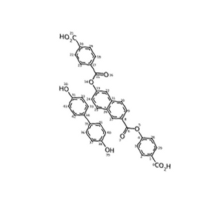 O=C(O)c1ccc(OC(=O)c2ccc3cc(OC(=O)c4ccc(C(=O)O)cc4)ccc3c2)cc1.Oc1ccc(-c2ccc(O)cc2)cc1